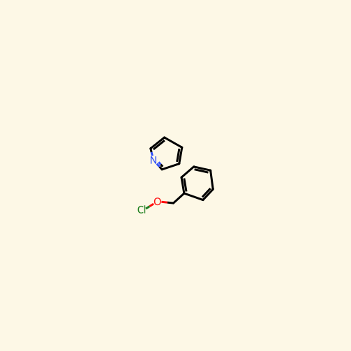 ClOCc1ccccc1.c1ccncc1